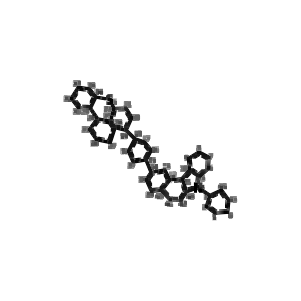 c1ccc(-n2c3ccccc3c3c4cc(-c5ccc(-c6ccc7c8c(cccc68)-c6ccccc6S7)cc5)ccc4ccc32)cc1